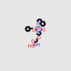 O=C(CCO[C@@H]1C[C@@H](C(=O)Nc2cccc3cccnc23)N(C(=O)OCc2ccccc2)C1)NO